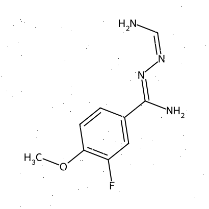 COc1ccc(/C(N)=N/N=C\N)cc1F